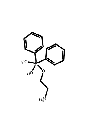 NCCOP(O)(O)(c1ccccc1)c1ccccc1